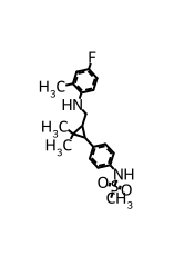 Cc1cc(F)ccc1NCC1C(c2ccc(NS(C)(=O)=O)cc2)C1(C)C